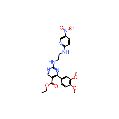 CCOC(=O)c1cnc(NCCNc2ccc([N+](=O)[O-])cn2)nc1-c1ccc(OC)c(OC)c1